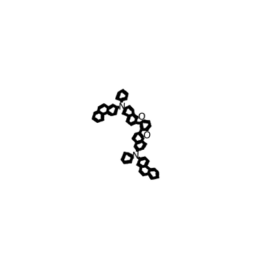 c1ccc(N(c2ccc3c(ccc4ccccc43)c2)c2ccc3c(ccc4c3oc3ccc5oc6c7ccc(N(c8ccccc8)c8ccc9c(ccc%10ccccc%109)c8)cc7ccc6c5c34)c2)cc1